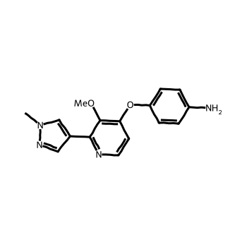 COc1c(Oc2ccc(N)cc2)ccnc1-c1cnn(C)c1